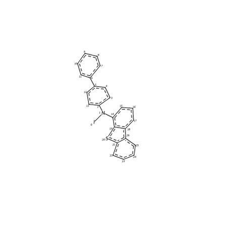 IN(c1ccc(-c2ccccc2)cc1)c1cccc2c1sc1ccccc12